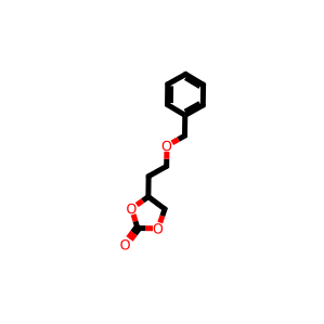 O=C1OCC(CCOCc2ccccc2)O1